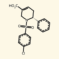 O=C(O)C1=CC[C@H](c2ccccc2)N(S(=O)(=O)c2ccc(Cl)cc2)C1